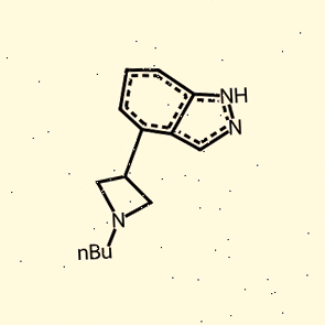 CCCCN1CC(c2cccc3[nH]ncc23)C1